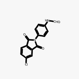 O=CNc1ccc(N2C(=O)c3ccc(Cl)cc3C2=O)cc1